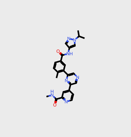 CNC(=O)c1cc(-c2cncc(-c3cc(C(=O)Nc4cnn(C(C)C)c4)ccc3C)n2)ccn1